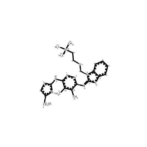 CCOC(=O)c1csc(Nc2nnc(N=c3sc4ccccc4n3COCC[Si](C)(C)C)c(C)c2C)n1